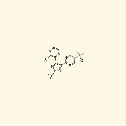 CS(=O)(=O)c1ccc(-n2nc(C(F)(F)F)nc2-c2ccccc2C(F)(F)F)nc1